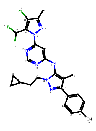 Cc1nn(-c2cc(Nc3c(C)c(-c4ccc(C#N)cc4)nn3CCC3CC3)ncn2)c(C(F)F)c1Cl